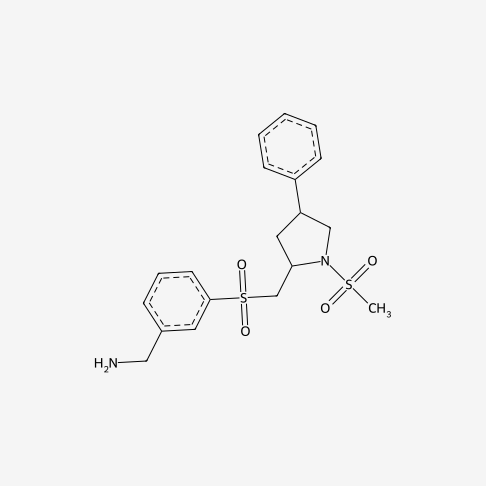 CS(=O)(=O)N1CC(c2ccccc2)CC1CS(=O)(=O)c1cccc(CN)c1